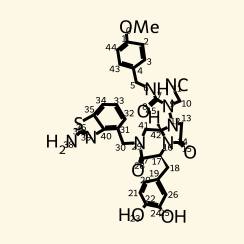 COc1ccc(CNC(=O)N(CC#N)N2CC(=O)N3[C@@H](Cc4ccc(O)c(O)c4)C(=O)N(Cc4cccc5sc(N)nc45)C[C@@H]32)cc1